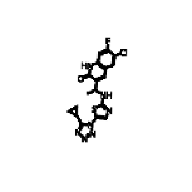 CC(Nc1ncc(-n2nnnc2C2CC2)s1)c1cc2cc(Cl)c(F)cc2[nH]c1=O